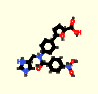 O=C(O)c1ccc(-c2ccc(N(Cc3cnc[nH]3)C(=O)c3ccc([N+](=O)[O-])cc3)cc2)o1